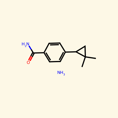 CC1(C)CC1c1ccc(C(N)=O)cc1.N